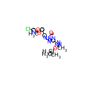 Cc1nnc(-c2cnc3c(c2)nc(CN2CCC(c4cccc5c4OC(C)(c4ccc(Cl)cn4)O5)CC2)n3CC2CCO2)n1COCC[Si](C)(C)C